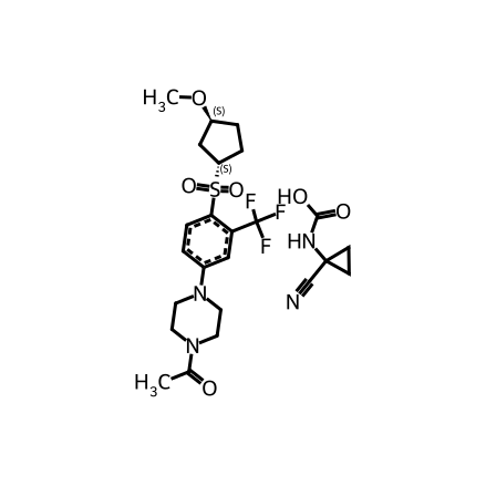 CO[C@H]1CC[C@H](S(=O)(=O)c2ccc(N3CCN(C(C)=O)CC3)cc2C(F)(F)F)C1.N#CC1(NC(=O)O)CC1